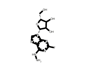 NNc1nc(F)nc2c1ncn2[C@@H]1O[C@H](CO)C(O)C1O